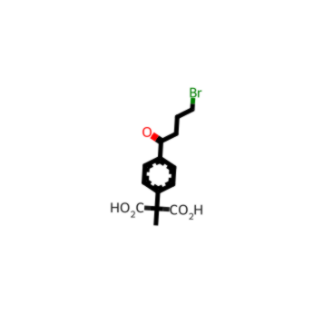 CC(C(=O)O)(C(=O)O)c1ccc(C(=O)CCCBr)cc1